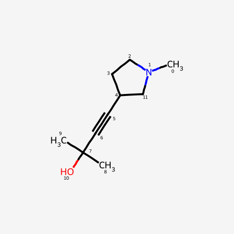 CN1CCC(C#CC(C)(C)O)C1